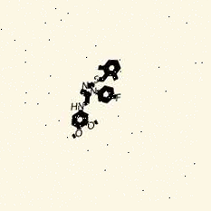 COc1ccc(NCc2cnc(SCc3c(C)cccc3C)n2-c2ccc(F)cc2)cc1OC